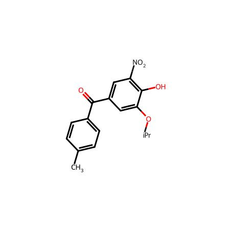 Cc1ccc(C(=O)c2cc(OC(C)C)c(O)c([N+](=O)[O-])c2)cc1